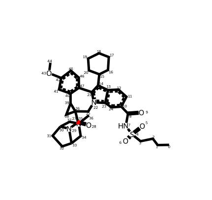 CCCCS(=O)(=O)NC(=O)c1ccc2c(C3CCCCC3)c3n(c2c1)CC1(C(=O)N2C4CCC2CN(C)C4)CC1c1cc(OC)ccc1-3